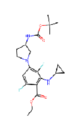 CCOC(=O)c1c(F)cc(N2CCC(NC(=O)OC(C)(C)C)C2)c(F)c1NC1CC1